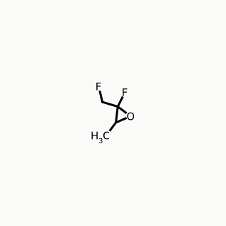 CC1OC1(F)CF